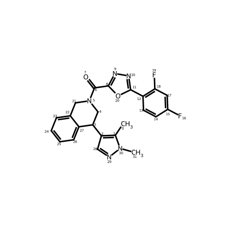 Cc1c(C2CN(C(=O)c3nnc(-c4ccc(F)cc4F)o3)Cc3ccccc32)cnn1C